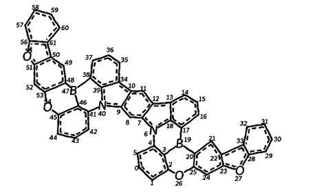 c1cc2c3c(c1)-n1c4cc5c(cc4c4cccc(c41)B3c1cc3c(cc1O2)oc1ccccc13)c1cccc2c1n5-c1cccc3c1B2c1cc2c(cc1O3)oc1ccccc12